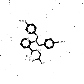 COc1ccc(CN(Cc2ccc(OC)cc2)c2ncccc2C(C)NCC(C)O)cc1